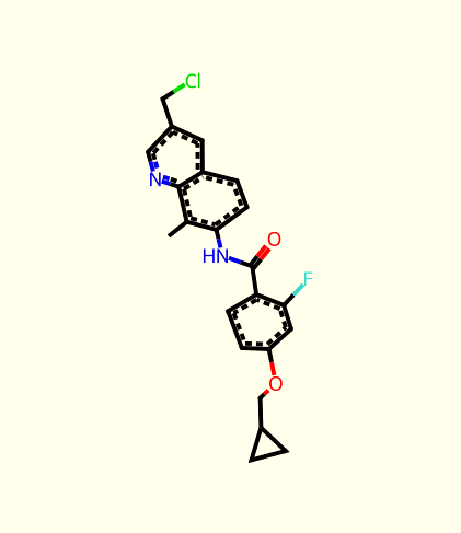 Cc1c(NC(=O)c2ccc(OCC3CC3)cc2F)ccc2cc(CCl)cnc12